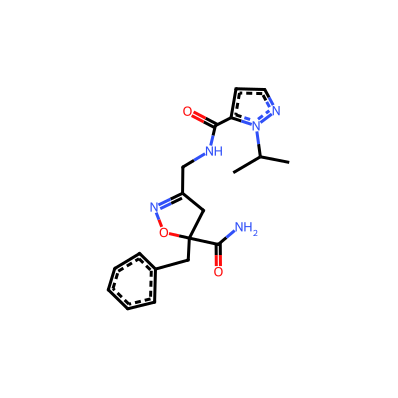 CC(C)n1nccc1C(=O)NCC1=NOC(Cc2ccccc2)(C(N)=O)C1